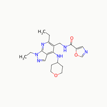 CCc1nc2c(cnn2CC)c(NC2CCOCC2)c1CNC(=O)c1cnco1